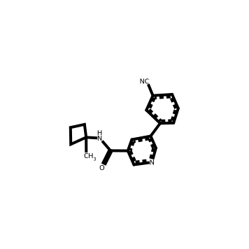 CC1(NC(=O)c2cncc(-c3cccc(C#N)c3)c2)CCC1